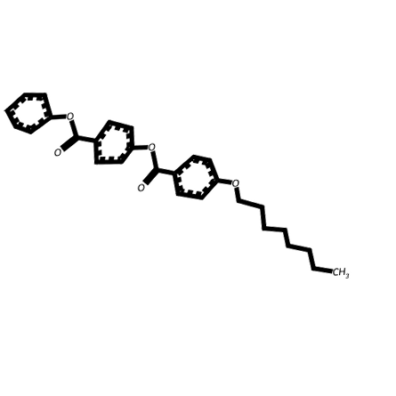 CCCCCCCCOc1ccc(C(=O)Oc2ccc(C(=O)Oc3cc[c]cc3)cc2)cc1